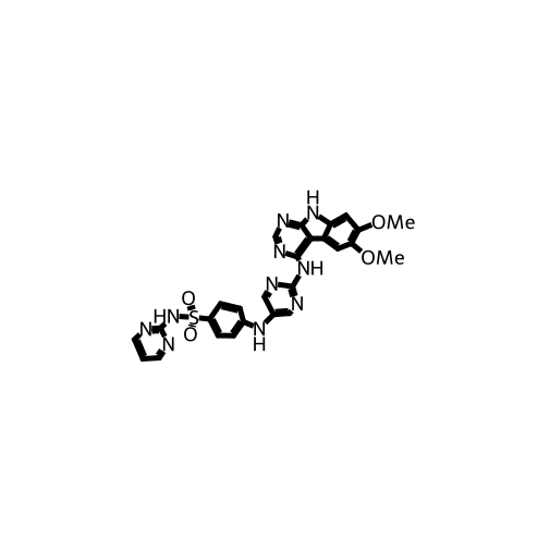 COc1cc2[nH]c3ncnc(Nc4ncc(Nc5ccc(S(=O)(=O)Nc6ncccn6)cc5)cn4)c3c2cc1OC